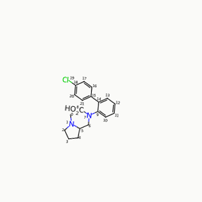 CN1CCCC1CN(C(=O)O)c1ccccc1-c1ccc(Cl)cc1